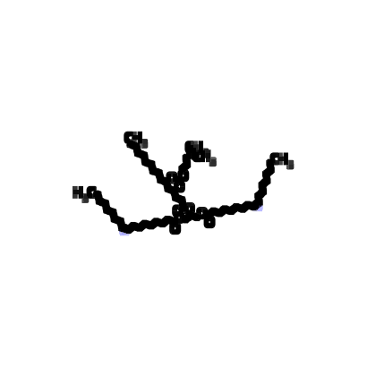 CCCCCCCC/C=C\CCCCCCCC(=O)OCC(COC(=O)CCCCCCC/C=C\CCCCCCCC)OC(=O)CCC(CCCCCCCCCCCC)OC(=O)OCCCN(C)C